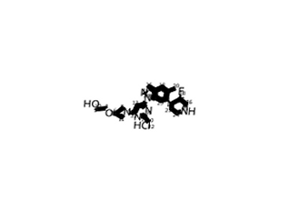 Cc1nc(N2CC(OCCO)C2)cc(-n2ncc3cc(C)c([C@@H]4CCNC[C@@H]4F)cc32)n1.Cl